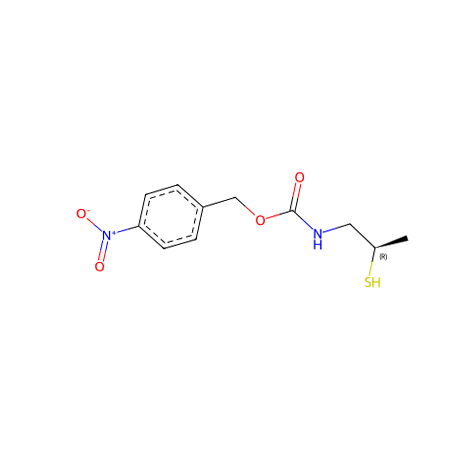 C[C@@H](S)CNC(=O)OCc1ccc([N+](=O)[O-])cc1